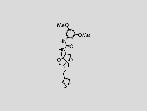 COc1cc(NC(=O)N[C@H]2CO[C@H]3[C@H](CCc4ccsc4)CO[C@@H]32)cc(OC)c1